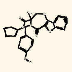 CCOc1ccc(CN2C(=O)c3oc4ccccc4c3OCC2(C)C(=O)NC2CCCC2)cc1